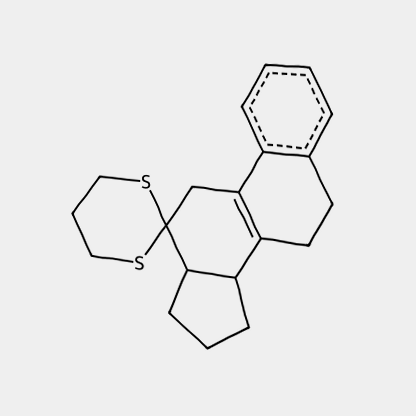 c1ccc2c(c1)CCC1=C2CC2(SCCCS2)C2CCCC12